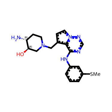 CSc1cccc(Nc2ncnn3ccc(CN4CC[C@@H](N)[C@H](O)C4)c23)c1